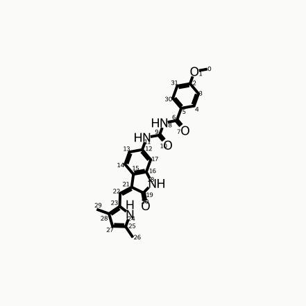 COc1ccc(C(=O)NC(=O)Nc2ccc3c(c2)NC(=O)C3=Cc2[nH]c(C)cc2C)cc1